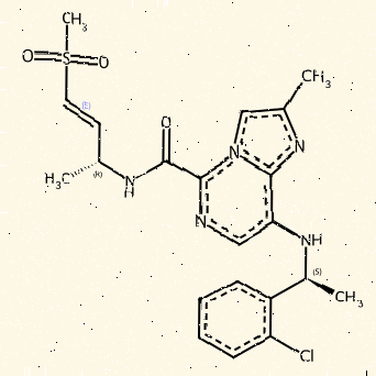 Cc1cn2c(C(=O)N[C@H](C)/C=C/S(C)(=O)=O)ncc(N[C@@H](C)c3ccccc3Cl)c2n1